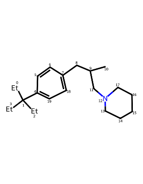 CCC(CC)(CC)c1ccc(CC(C)CN2CCCCC2)cc1